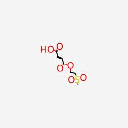 CS(=O)(=O)CCOC(=O)C=CC(=O)O